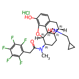 CN(C(=O)Cc1c(F)c(F)c(F)c(F)c1F)[C@@H]1CC[C@@]2(O)[C@H]3Cc4ccc(O)c5c4[C@@]2(CCN3CC2CC2)[C@H]1O5.Cl